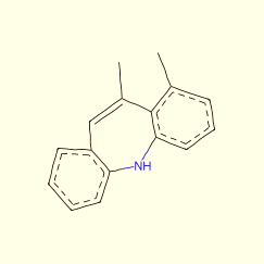 CC1=Cc2ccccc2Nc2cccc(C)c21